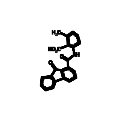 Cc1cccc(NC(=O)c2cccc3c2C(=O)c2ccccc2-3)c1C(=O)O